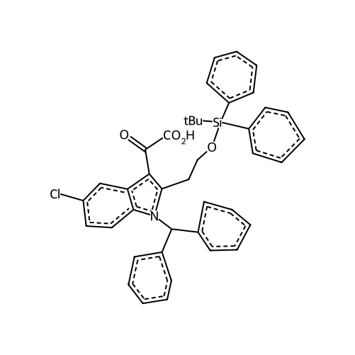 CC(C)(C)[Si](OCCc1c(C(=O)C(=O)O)c2cc(Cl)ccc2n1C(c1ccccc1)c1ccccc1)(c1ccccc1)c1ccccc1